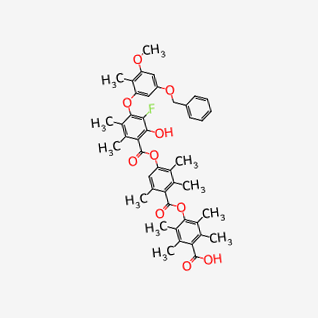 COc1cc(OCc2ccccc2)cc(Oc2c(C)c(C)c(C(=O)Oc3cc(C)c(C(=O)Oc4c(C)c(C)c(C(=O)O)c(C)c4C)c(C)c3C)c(O)c2F)c1C